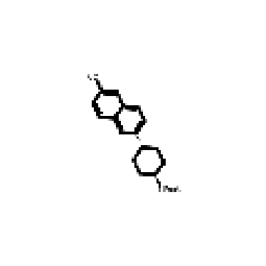 CCCCC[C@H]1CC[C@H](c2ccc3cc(C(F)(F)F)ccc3c2)CC1